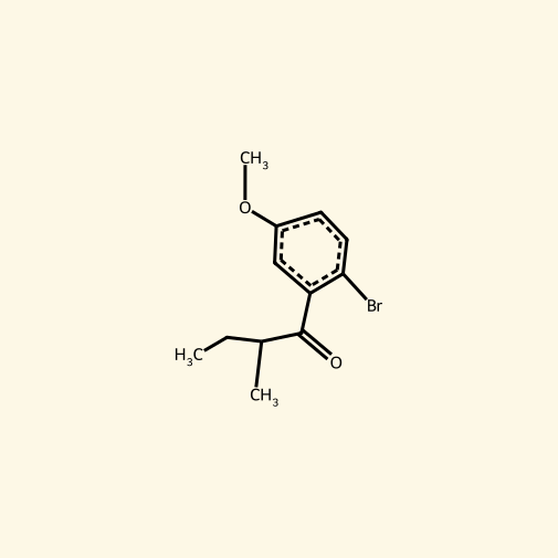 CCC(C)C(=O)c1cc(OC)ccc1Br